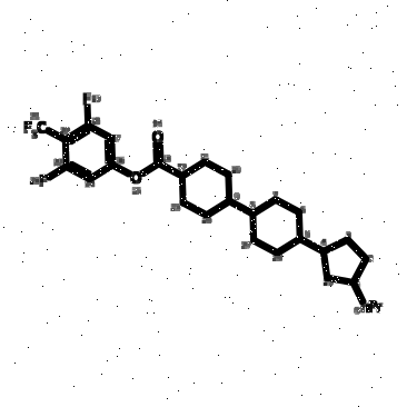 CCCC1CCC(C2CCC(C3CCC(C(=O)Oc4cc(F)c(C(F)(F)F)c(F)c4)CC3)CC2)C1